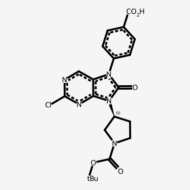 CC(C)(C)OC(=O)N1CC[C@H](n2c(=O)n(-c3ccc(C(=O)O)cc3)c3cnc(Cl)nc32)C1